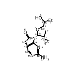 C[CH][C@H]1C[C@@H]([C@@H](O)CC)O[C@H]1n1c(=O)sc2cnc(N)nc21